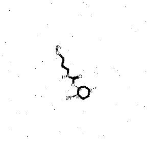 CC(C)OCCCNC(=O)O[C@@H]1C[C@H](C)CC[C@H]1C(C)C